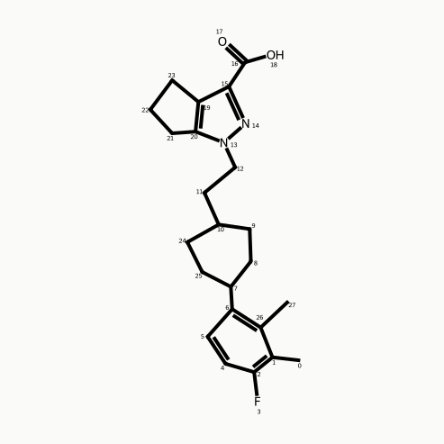 Cc1c(F)ccc(C2CCC(CCn3nc(C(=O)O)c4c3CCC4)CC2)c1C